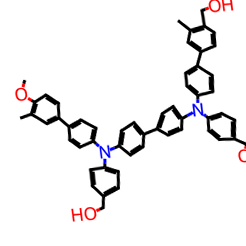 COc1ccc(-c2ccc(N(c3ccc(CO)cc3)c3ccc(-c4ccc(N(c5ccc(CO)cc5)c5ccc(-c6ccc(CO)c(C)c6)cc5)cc4)cc3)cc2)cc1C